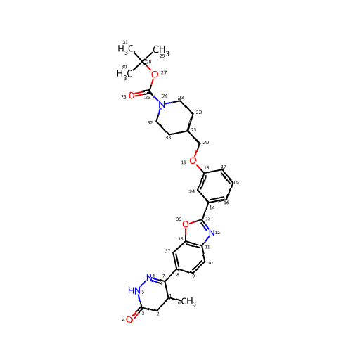 CC1CC(=O)NN=C1c1ccc2nc(-c3cccc(OCC4CCN(C(=O)OC(C)(C)C)CC4)c3)oc2c1